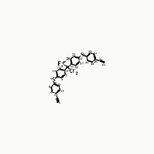 C#Cc1ccc(Sc2ccc(C(c3ccc(Sc4ccc(C#C)cc4)cc3)(C(F)(F)F)C(F)(F)F)cc2)cc1